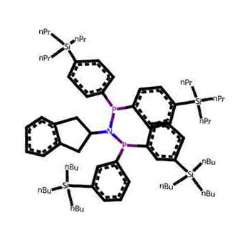 CCCC[Si](CCCC)(CCCC)c1cccc(P(c2cccc([Si](CCCC)(CCCC)CCCC)c2)N(C2Cc3ccccc3C2)P(c2ccc([Si](CCC)(CCC)CCC)cc2)c2ccc([Si](CCC)(CCC)CCC)cc2)c1